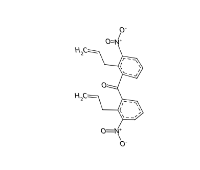 C=CCc1c(C(=O)c2cccc([N+](=O)[O-])c2CC=C)cccc1[N+](=O)[O-]